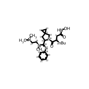 CCCCC(CC(=O)NO)C(=O)N1CC2(CC2)CC1/C(=N/c1ccccc1)N(C)CCN(C)C